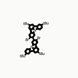 CC(C)(C)c1ccc2c(c1)c1cc(C(C)(C)C)cc3c4cc(Br)c(-c5cc6c(cc5Br)c5cc(C(C)(C)C)cc7c8cc(C(C)(C)C)ccc8n6c75)cc4n2c13